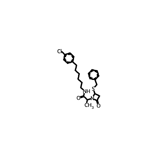 CC(C(=O)NCCCCCCc1ccc(Cl)cc1)N1C(=O)CC1SCc1ccccc1